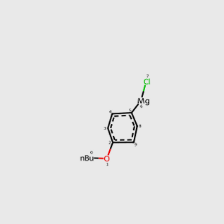 CCCCOc1cc[c]([Mg][Cl])cc1